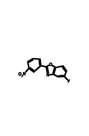 O=[N+]([O-])c1cccc(-c2nc3cc(F)ccc3o2)c1